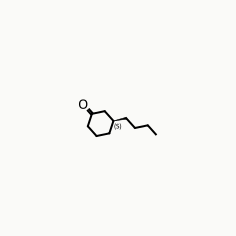 CCCC[C@H]1CCCC(=O)C1